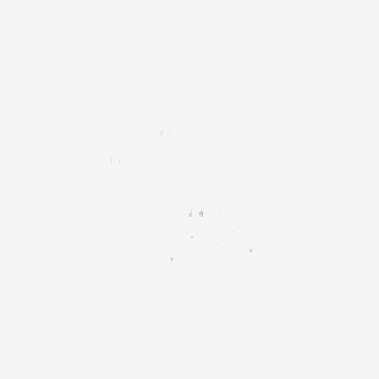 CCC[CH2][Sn]([CH2]CCC)([O]c1ccc(CCC)c(CC)c1C)[O][Sn]([CH2]CCC)([CH2]CCC)[O]c1ccc(CCC)c(CC)c1C